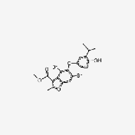 COC(=O)c1c(C)oc2cc(Br)c(Oc3ccc(O)c(C(C)C)c3)c(Br)c12